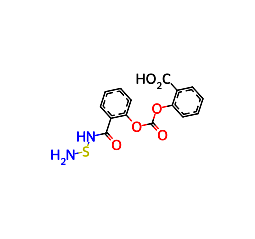 NSNC(=O)c1ccccc1OC(=O)Oc1ccccc1C(=O)O